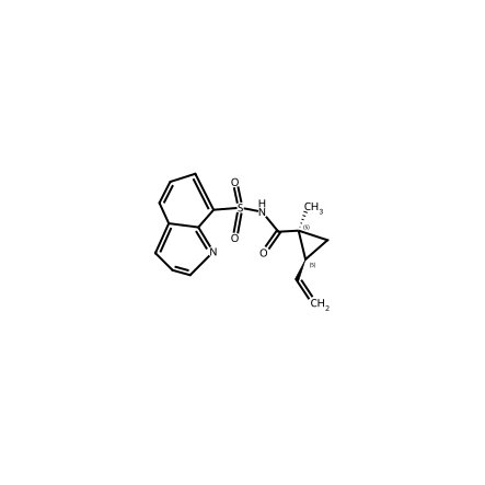 C=C[C@@H]1C[C@]1(C)C(=O)NS(=O)(=O)c1cccc2cccnc12